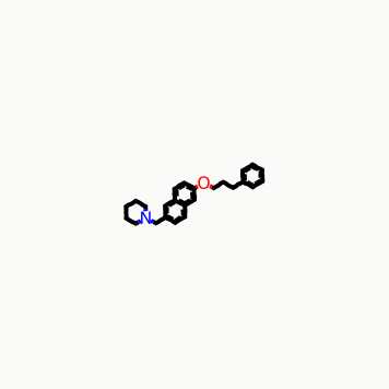 c1ccc(CCCOc2ccc3cc(CN4CCCCC4)ccc3c2)cc1